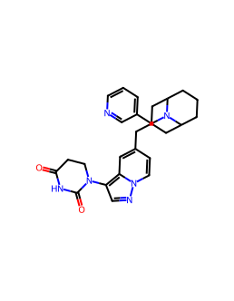 O=C1CCN(c2cnn3ccc(CC4CC5CCCC(C4)N5Cc4cccnc4)cc23)C(=O)N1